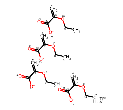 C=C(OCC)C(=O)[O-].C=C(OCC)C(=O)[O-].C=C(OCC)C(=O)[O-].C=C(OCC)C(=O)[O-].[Ti+4]